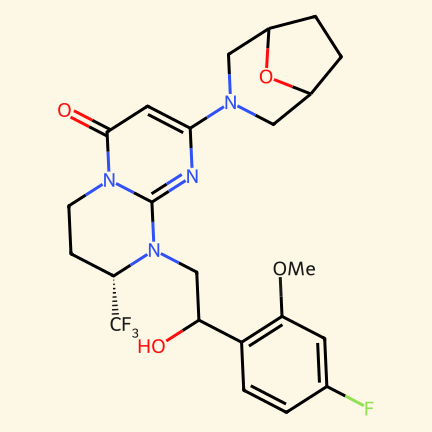 COc1cc(F)ccc1C(O)CN1c2nc(N3CC4CCC(C3)O4)cc(=O)n2CC[C@H]1C(F)(F)F